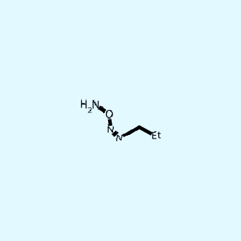 CCC/N=N\ON